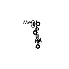 COC(=O)c1c(C)cccc1COc1cccc(OCc2noc(-c3ccccc3)n2)c1